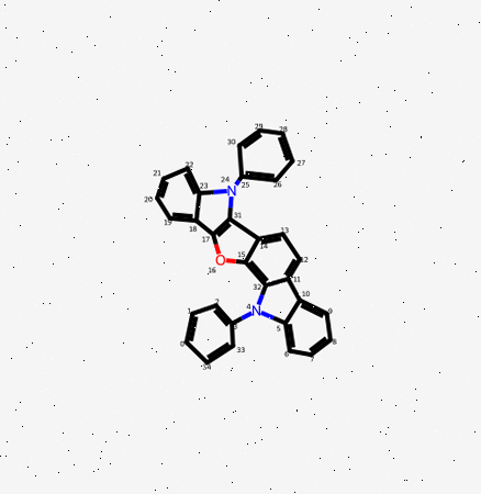 c1ccc(-n2c3ccccc3c3ccc4c(oc5c6ccccc6n(-c6ccccc6)c45)c32)cc1